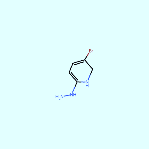 NNC1=CC=C(Br)CN1